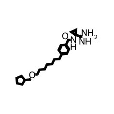 N=C(N)C1(NC(=O)c2ccc(CCCCCCCOCC3CCCC3)cc2)CC1